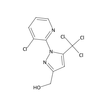 OCc1cc(C(Cl)(Cl)Cl)n(-c2ncccc2Cl)n1